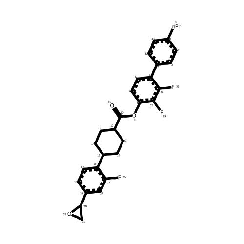 CCCc1ccc(-c2ccc(OC(=O)C3CCC(c4ccc(C5CO5)cc4F)CC3)c(F)c2F)cc1